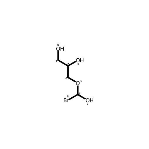 OCC(O)COC(O)Br